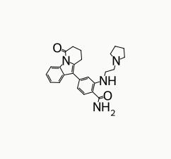 NC(=O)c1ccc(-c2c3n(c4ccccc24)C(=O)CCC3)cc1NCCN1CCCC1